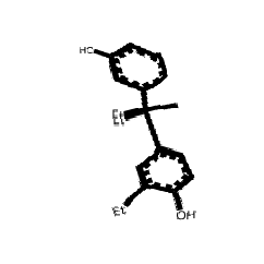 CCc1cc(C(C)(CC)c2cccc(O)c2)ccc1O